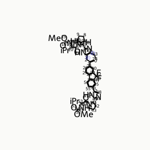 C=C(/C=c1/[nH]c([C@@H]2[C@H]3CC[C@H](C3)N2C(=O)[C@@H](NC(=O)OC)C(C)C)n/c1=C/C)c1ccc2c(c1)C(F)(F)c1cc(-c3cnc([C@@H]4CCCN4C(=O)[C@@H](NC(=O)OC)C(C)C)[nH]3)ccc1-2